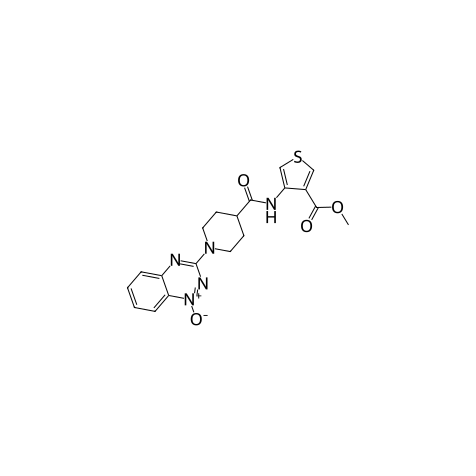 COC(=O)c1cscc1NC(=O)C1CCN(c2nc3ccccc3[n+]([O-])n2)CC1